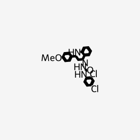 COc1ccc(C2CC(=NNC(=O)Nc3ccc(Cl)cc3Cl)c3ccccc3N2)cc1